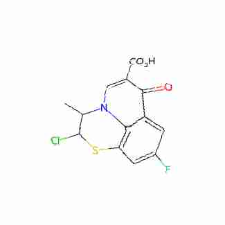 CC1C(Cl)Sc2cc(F)cc3c(=O)c(C(=O)O)cn1c23